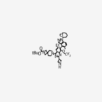 CCc1cc2c(N3CCC4(CC3)CN(C(=O)OC(C)(C)C)C4)nc(C3CNC3)nc2c(OCC(F)(F)F)c1-c1c(C)ccc2c1cnn2C1CCCCO1